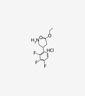 CCOC(=O)CC(CN)c1ccc(F)c(F)c1F.Cl